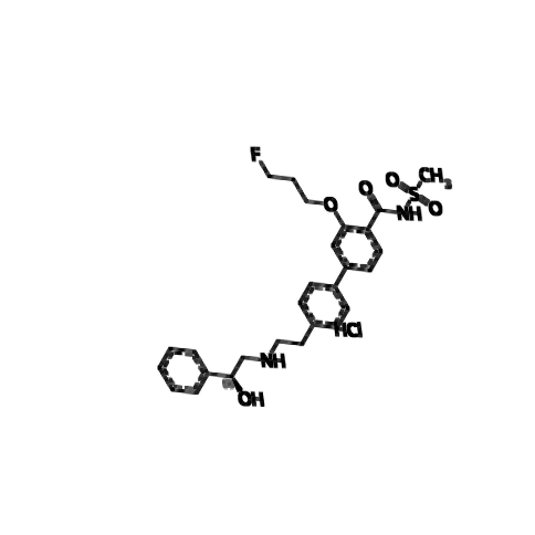 CS(=O)(=O)NC(=O)c1ccc(-c2ccc(CCNC[C@@H](O)c3ccccc3)cc2)cc1OCCCF.Cl